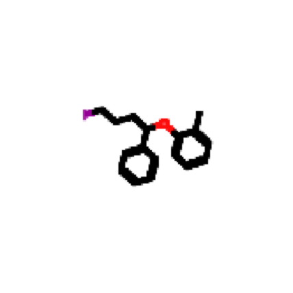 Cc1ccccc1OC(CCCI)c1ccccc1